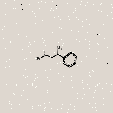 CC(C)NCC(c1ccccc1)C(F)(F)F